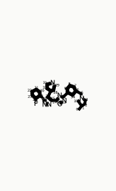 CC1CCN(Cc2cccc(-c3noc(-c4nnn(-c5ccccc5F)c4-c4ccncc4)n3)c2)C1